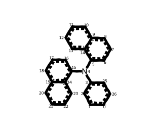 [c]1ccc(N(c2cccc3ccccc23)c2cccc3ccccc23)cc1